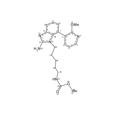 COc1ncccc1-c1cccc2nc(N)n(CCCCCNC(=O)OC(C)(C)C)c12